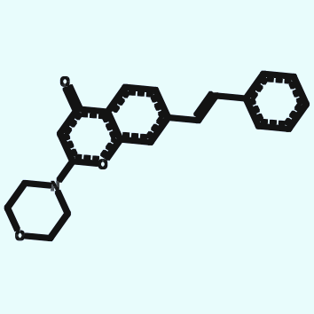 O=c1cc(N2CCOCC2)oc2cc(/C=C/c3ccccc3)ccc12